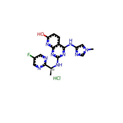 C[C@H](Nc1nc(Nc2cn(C)cn2)c2ccc(O)nc2n1)c1ncc(F)cn1.Cl